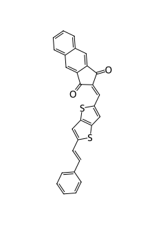 O=C1C(=Cc2cc3sc(/C=C/c4ccccc4)cc3s2)C(=O)c2cc3ccccc3cc21